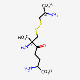 NC(CCC(=O)[C@](N)(CSSC[C@H](N)C(=O)O)C(=O)O)C(=O)O